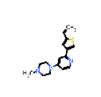 C=Cc1cc(-c2cc(N3CCN(C)CC3)ccn2)cs1